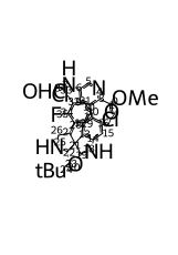 COC(=O)c1ncc(NC=O)cc1-c1cc2c(cc1Cl)NC(=O)C21[C@H](CC(C)(C)C)NC[C@H]1c1cccc(Cl)c1F